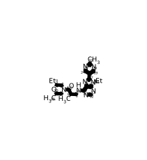 CC[C@H]1CN(C(=O)[C@H](C)CNc2ncnc3c2nc(-c2cnc(C)nc2)n3CC)C[C@@H](C)O1